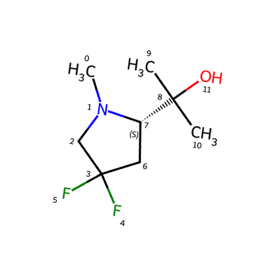 CN1CC(F)(F)C[C@H]1C(C)(C)O